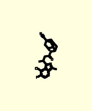 CC(CC(=O)N1C2CC3CC1CC(C#N)(C3)C2)c1nn(C)c2ccc(F)c(Cl)c12